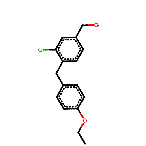 CCOc1ccc(Cc2ccc(C[O])cc2Cl)cc1